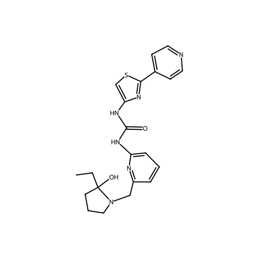 CCC1(O)CCCN1Cc1cccc(NC(=O)Nc2csc(-c3ccncc3)n2)n1